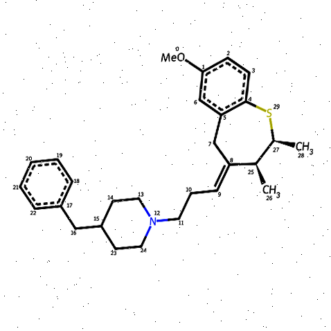 COc1ccc2c(c1)C/C(=C\CCN1CCC(Cc3ccccc3)CC1)[C@H](C)[C@H](C)S2